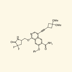 COC1(OC)CC(C#Cc2cnc(OCC3CC(F)(F)C(=O)N3)c3cc(OC(C)C)c(C(N)=O)cc23)C1